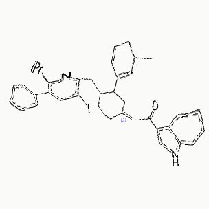 CC1C=C(C2C/C(=C\C(=O)c3c[nH]c4ccccc34)CCC2Cc2nc(C(C)C)c(-c3ccccc3)cc2I)C=CC1